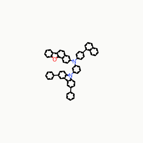 c1ccc(-c2ccc3c(c2)c2cc(-c4ccccc4)ccc2n3-c2cccc(N(c3ccc(-c4cccc5ccccc45)cc3)c3ccc4c(ccc5c6ccccc6oc45)c3)c2)cc1